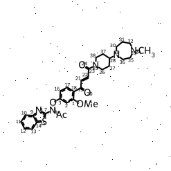 COc1cc(ON(C(C)=O)c2nc3ccccc3s2)ccc1C(=O)C=CC(=O)N1CCC(N2CCCN(C)CC2)CC1